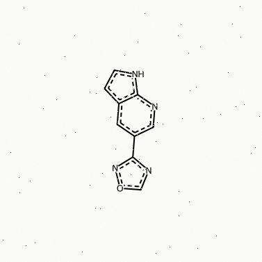 c1cc2cc(-c3ncon3)cnc2[nH]1